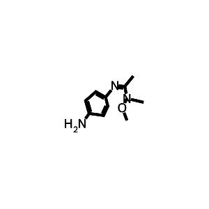 CON(C)C(C)=Nc1ccc(N)cc1